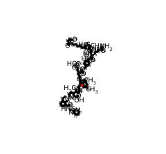 Cc1c(-c2ccc(N3CCc4cccc(C(=O)Nc5nc6cccnc6s5)c4C3)nc2C(=O)O)cnn1CC12CC3(C)CC(C)(C1)CC(OCCN(CCS(=O)(=O)O)C(=O)OCc1ccc(NC(=O)[C@H](CCCNC(N)=O)NC(=O)[C@@H](NC(=O)CCCCCN4C(=O)C=CC4=O)C(C)C)cc1)(C3)C2